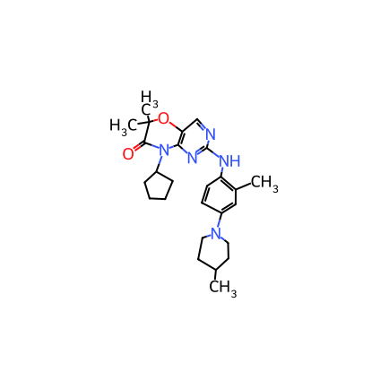 Cc1cc(N2CCC(C)CC2)ccc1Nc1ncc2c(n1)N(C1CCCC1)C(=O)C(C)(C)O2